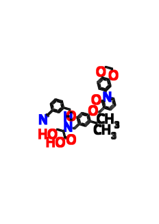 CC(C)c1cc(CNC(CO)C(=O)O)c(OCc2cccc(C#N)c2)cc1OCc1cccn(-c2ccc3c(c2)OCCO3)c1=O